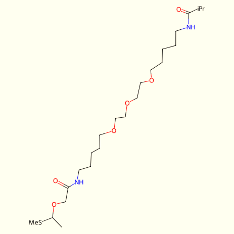 CSC(C)OCC(=O)NCCCCCOCCOCCOCCCCCNC(=O)C(C)C